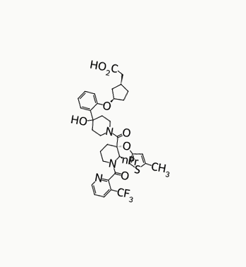 CCC[C@H]1N(C(=O)c2ncccc2C(F)(F)F)CCC[C@@]1(Oc1csc(C)c1)C(=O)N1CCC(O)(c2ccccc2O[C@@H]2CC[C@H](CC(=O)O)C2)CC1